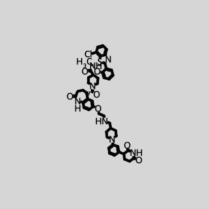 CNC(=O)C1(Oc2ccccc2-c2nc3cccc(Cl)c3s2)CCN(C(=O)[C@H]2CCC(=O)Nc3ccc(OCCNCC4CCN(c5cccc(C6CCC(=O)NC6=O)c5)CC4)cc32)CC1